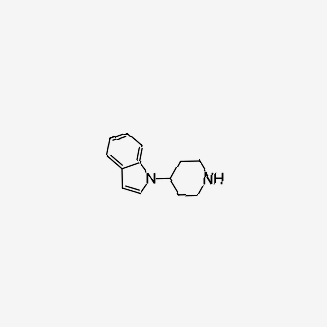 c1ccc2c(c1)ccn2C1CCNCC1